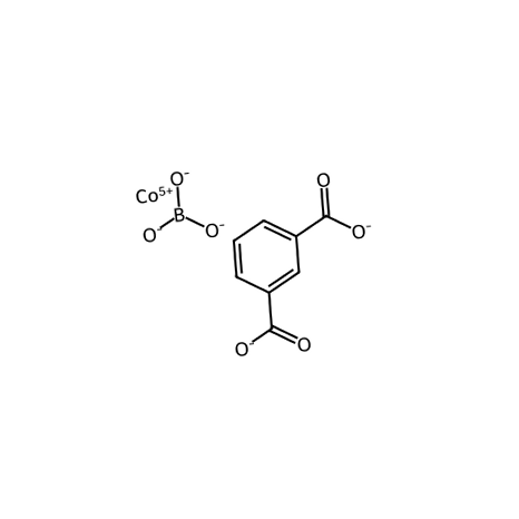 O=C([O-])c1cccc(C(=O)[O-])c1.[Co+5].[O-]B([O-])[O-]